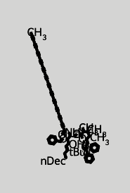 CC#CC#CC#CC#CC#CC#CC#CC#CC#CC#CC#CC#CC(=O)N[C@@H](CO[C@H]1OC(CO[Si](c2ccccc2)(c2ccccc2)C(C)(C)C)[C@H](C)[C@H](C)C1C)[C@H](OCc1ccccc1)[C@H](O)C=CCCCCCCCCCCCC